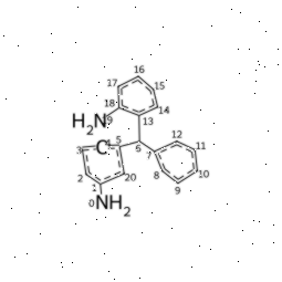 Nc1cccc(C(c2ccccc2)c2ccccc2N)c1